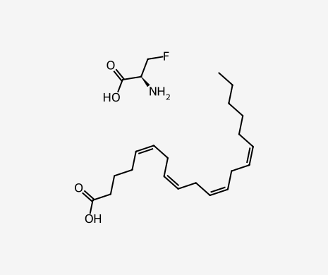 CCCCC/C=C\C/C=C\C/C=C\C/C=C\CCCC(=O)O.N[C@H](CF)C(=O)O